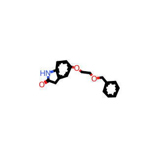 O=C1Cc2cc(OCCOCc3ccccc3)ccc2N1